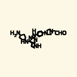 NC1CCC(Nc2nc(Nc3ccc(N4CCN(CC=O)CC4)cc3)nc3[nH]ccc23)CC1